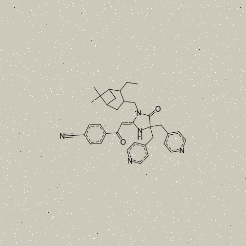 CCC1C(CN2C(=O)C(Cc3ccncc3)(Cc3ccncc3)NC2=CC(=O)c2ccc(C#N)cc2)CC2CC1C2(C)C